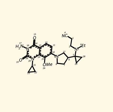 CCN(CCC#N)C1(C2CCN(c3ccc4c(=O)n(N)c(=O)n(C5CC5)c4c3OC)C2)CC1